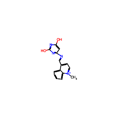 C[n+]1ccc(C=Nc2cc(O)nc(O)n2)c2ccccc21